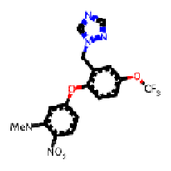 CNc1cc(Oc2ccc(OC(F)(F)F)cc2Cn2cncn2)ccc1[N+](=O)[O-]